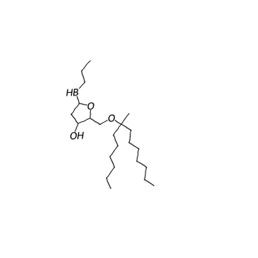 CCCBC1CC(O)C(COC(C)(CCCCCC)CCCCCCC)O1